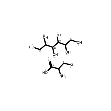 NC(CS)C(=O)O.OCC(O)C(O)C(O)C(O)CO